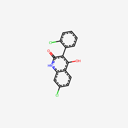 O=c1[nH]c2cc(Cl)ccc2c(O)c1-c1ccccc1Cl